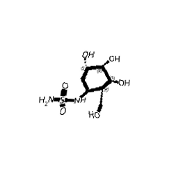 NS(=O)(=O)NC1C[C@H](O)[C@@H](O)[C@@H](O)[C@H]1CO